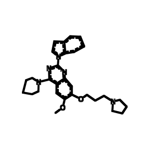 COc1cc2c(N3CCCCC3)nc(-n3ccc4ccccc43)nc2cc1OCCCN1CCCC1